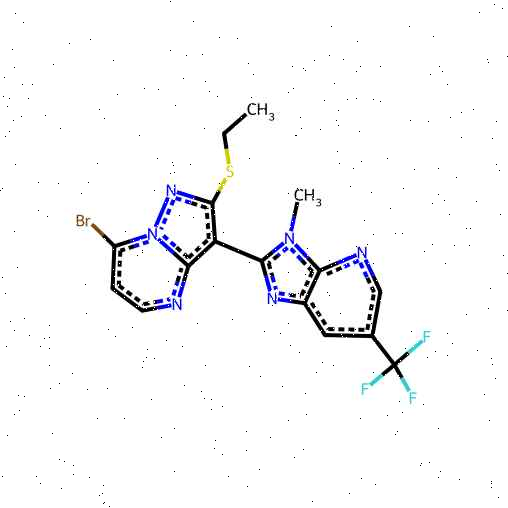 CCSc1nn2c(Br)ccnc2c1-c1nc2cc(C(F)(F)F)cnc2n1C